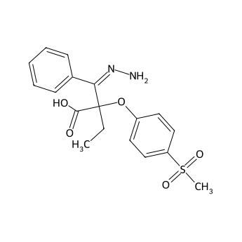 CCC(Oc1ccc(S(C)(=O)=O)cc1)(C(=O)O)/C(=N\N)c1ccccc1